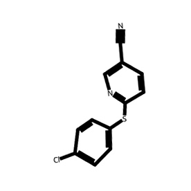 N#Cc1ccc(Sc2ccc(Cl)cc2)nc1